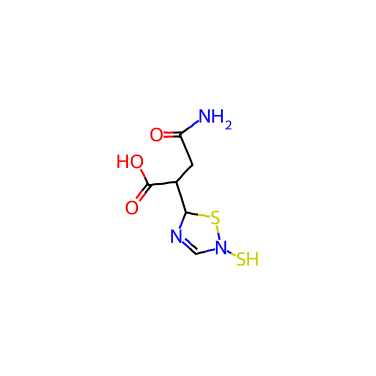 NC(=O)CC(C(=O)O)C1N=CN(S)S1